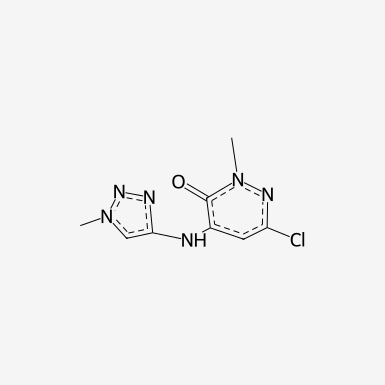 Cn1cc(Nc2cc(Cl)nn(C)c2=O)nn1